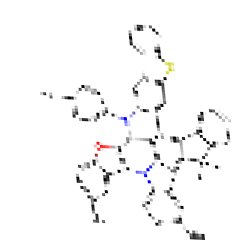 CC(C)(C)c1ccc(N2B3c4oc5ccc(C(C)(C)C)cc5c4-n4c5ccc(C(C)(C)C)cc5c5c6c(c(c3c54)-c3cc4sc5ccccc5c4cc32)-c2ccccc2C6(C)C)cc1